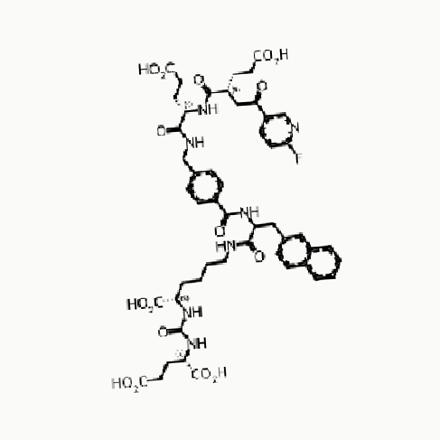 O=C(O)CC[C@H](CC(=O)c1ccc(F)nc1)C(=O)N[C@@H](CCC(=O)O)C(=O)NCc1ccc(C(=O)NC(Cc2ccc3ccccc3c2)C(=O)NCCCC[C@H](NC(=O)N[C@@H](CCC(=O)O)C(=O)O)C(=O)O)cc1